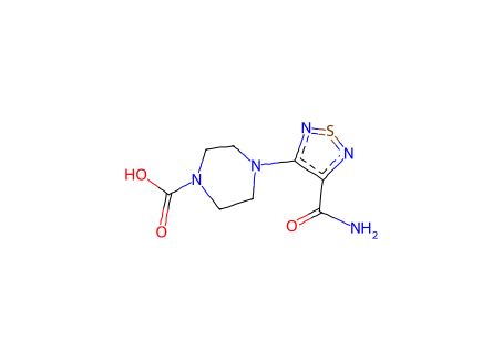 NC(=O)c1nsnc1N1CCN(C(=O)O)CC1